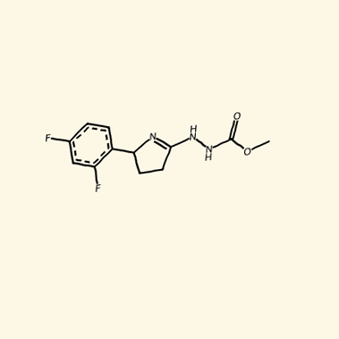 COC(=O)NNC1=NC(c2ccc(F)cc2F)CC1